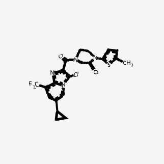 Cc1ccc(N2CCN(C(=O)c3nc4c(C(F)(F)F)cc(C5CC5)cn4c3Cl)CC2=O)s1